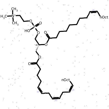 CCCCCCCC/C=C\C/C=C\C/C=C\CCCC(=O)OC[C@H](COP(=O)(O)OCC[N+](C)(C)C)OC(=O)CCCCCCC/C=C\CCCCCCCC